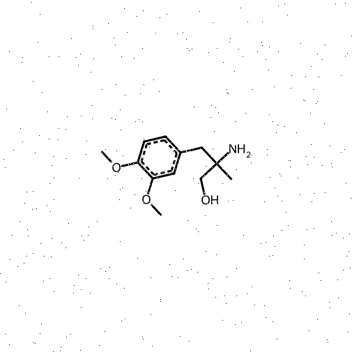 COc1ccc(CC(C)(N)CO)cc1OC